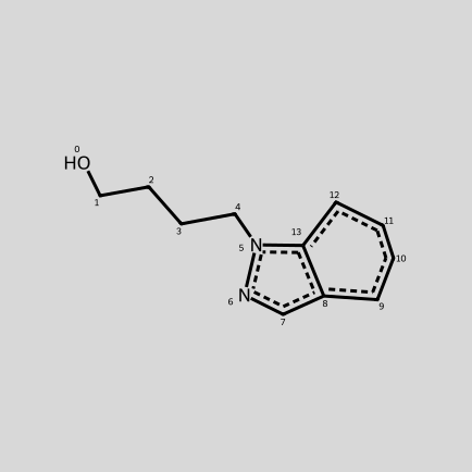 OCCCCn1ncc2ccccc21